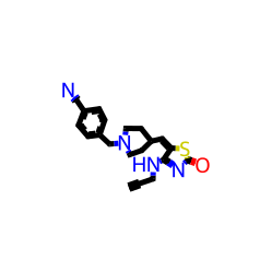 C#CCNC1=NC(=O)SC1=CC1CCN(Cc2ccc(C#N)cc2)CC1